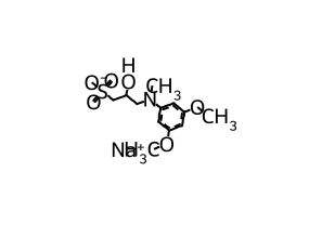 COc1cc(OC)cc(N(C)CC(O)CS(=O)(=O)[O-])c1.[Na+]